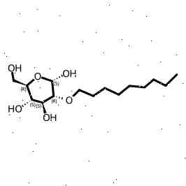 CCCCCCCCCO[C@@H]1[C@@H](O)[C@H](O)[C@@H](CO)O[C@@H]1O